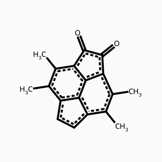 Cc1c(C)c2c(=O)c(=O)c3c(C)c(C)c4ccc1c4c23